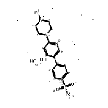 CC(C)N1CCN(c2ccc(-c3ccc(S(N)(=O)=O)cc3)cn2)CC1.Cl.Cl